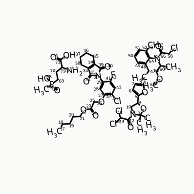 CC1(C)OC(c2ccco2)CN1C(=O)C(Cl)Cl.CCCCCOC(=O)COc1cc(N2C(=O)C3=C(CCCC3)C2=O)c(F)cc1Cl.CCc1cccc(C)c1N(C(=O)CCl)C(C)COC.CP(=O)(O)CCC(N)C(=O)O